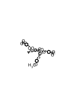 COc1ccc(CS[C@H]2C[C@@H](C(=O)N3CC[C@H](CN(C(=O)OCc4ccc([N+](=O)[O-])cc4)C4CC4)C3)N(C(=O)OCc3ccc([N+](=O)[O-])cc3)C2)cc1